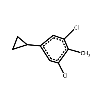 Cc1c(Cl)cc(C2CC2)cc1Cl